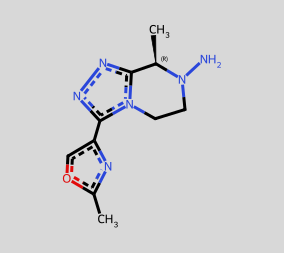 Cc1nc(-c2nnc3n2CCN(N)[C@@H]3C)co1